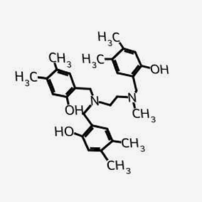 Cc1cc(O)c(CN(C)CCN(Cc2cc(C)c(C)cc2O)Cc2cc(C)c(C)cc2O)cc1C